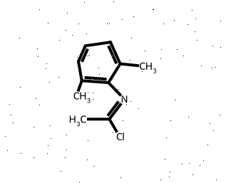 C/C(Cl)=N\c1c(C)cccc1C